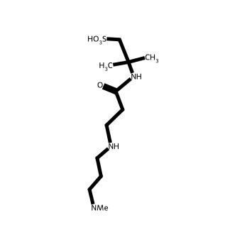 CNCCCNCCC(=O)NC(C)(C)CS(=O)(=O)O